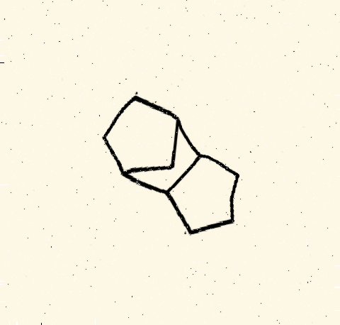 [CH]1CC2CC1C1CC[CH]C21